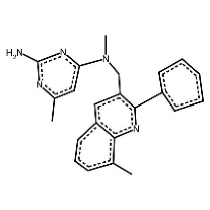 Cc1cc(N(C)Cc2cc3cccc(C)c3nc2-c2ccccc2)nc(N)n1